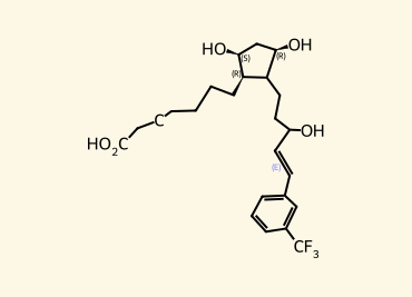 O=C(O)CCCCCC[C@@H]1C(CCC(O)/C=C/c2cccc(C(F)(F)F)c2)[C@H](O)C[C@@H]1O